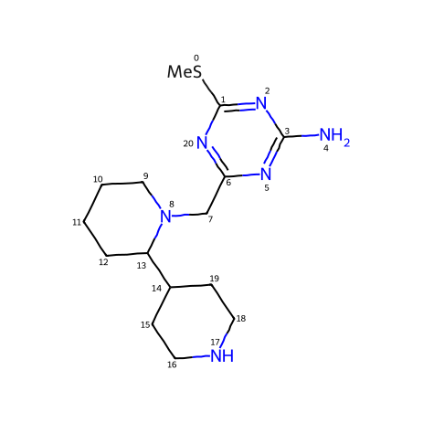 CSc1nc(N)nc(CN2CCCCC2C2CCNCC2)n1